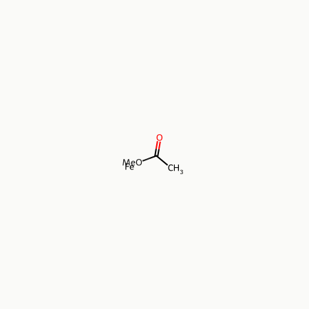 COC(C)=O.[Fe]